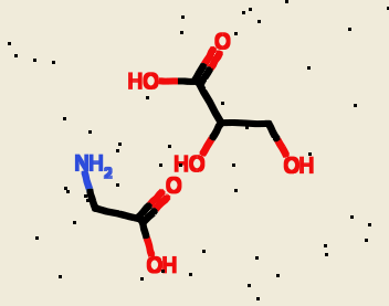 NCC(=O)O.O=C(O)C(O)CO